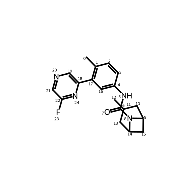 Cc1ccc(NC(=O)N2C3CC(C)CC2C3)cc1-c1cncc(F)n1